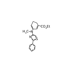 CCOC(=O)C1=CC(N(C)c2csc(-c3ccccc3)n2)=CCC1